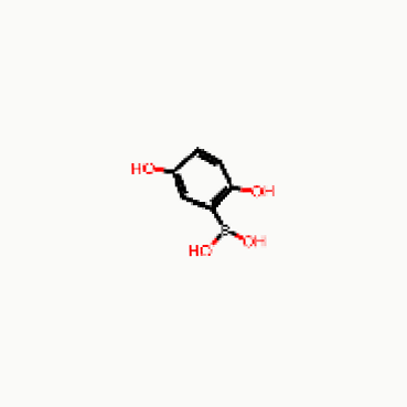 OB(O)c1cc(O)ccc1O